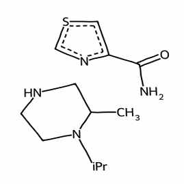 CC(C)N1CCNCC1C.NC(=O)c1cscn1